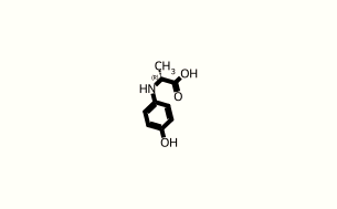 C[C@@H](Nc1ccc(O)cc1)C(=O)O